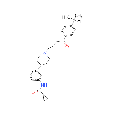 CC(C)(C)c1ccc(C(=O)CCCN2CCC(c3cccc(NC(=O)C4CC4)c3)CC2)cc1